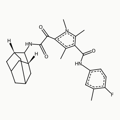 Cc1cc(NC(=O)c2c(C)c(C(=O)C(=O)NC3[C@H]4CC5CC(C4)C[C@@H]3C5)n(C)c2C)ccc1F